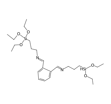 CCO[SiH](CCC/N=C/c1ccccc1/C=N/CCC[Si](OCC)(OCC)OCC)OCC